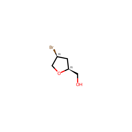 OC[C@@H]1C[C@H](Br)CO1